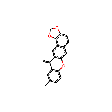 C=C1c2cc(C)ccc2Oc2cc3ccc4c(c3cc21)OCO4